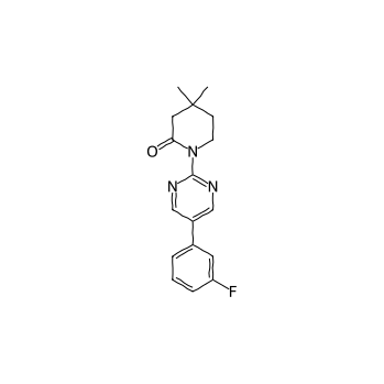 CC1(C)CCN(c2ncc(-c3cccc(F)c3)cn2)C(=O)C1